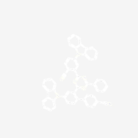 N#Cc1ccc(-c2ccc(-n3c4ccccc4c4ccccc43)cc2-c2nc(-c3ccccc3)nc(-c3cc(-n4c5ccccc5c5ccccc54)ccc3C#N)n2)cc1